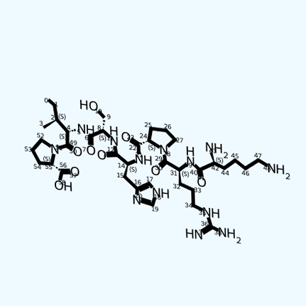 CC[C@H](C)[C@H](NC(=O)[C@H](CO)NC(=O)[C@H](Cc1c[nH]cn1)NC(=O)[C@@H]1CCCN1C(=O)[C@H](CCCNC(=N)N)NC(=O)[C@@H](N)CCCCN)C(=O)N1CCC[C@H]1C(=O)O